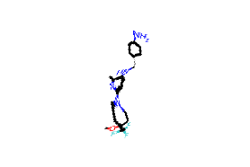 COC1(C(F)(F)F)CCN(c2ccc(NC[C@H]3CC[C@H](N)CC3)c(C)n2)CC1